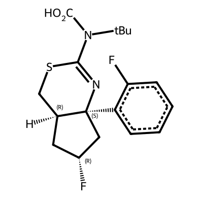 CC(C)(C)N(C(=O)O)C1=N[C@@]2(c3ccccc3F)C[C@H](F)C[C@H]2CS1